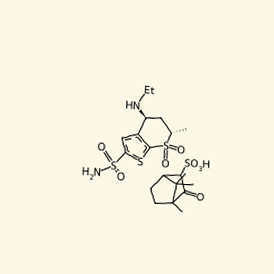 CC12CCC(C(S(=O)(=O)O)C1=O)C2(C)C.CCN[C@H]1C[C@H](C)S(=O)(=O)c2sc(S(N)(=O)=O)cc21